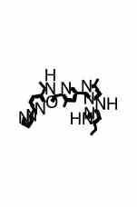 CCc1cc(Nc2cc(C)nc(-c3cnc(C(=O)NC(C)c4ccc(-n5cccn5)nc4)c(C)c3)n2)n[nH]1